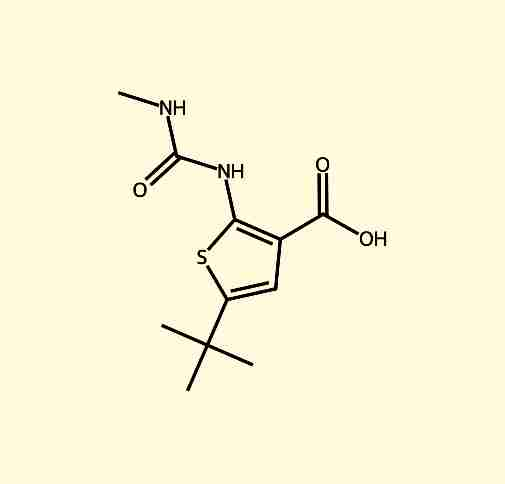 CNC(=O)Nc1sc(C(C)(C)C)cc1C(=O)O